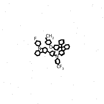 C=CC1CCC(OC2CC=C(C3(C4C=CCCC4)C4=C(C=CC(N(C5=CCC(C6CCC7C(C6)C6CCCCC6N7C6CCC(F)CC6)CC5)C5C=CC(C(F)(F)F)CC5)C4)C4CCCCC43)CC2)CC1